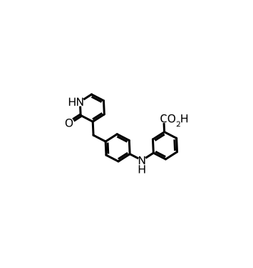 O=C(O)c1cccc(Nc2ccc(Cc3ccc[nH]c3=O)cc2)c1